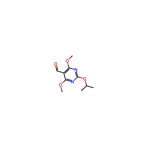 COc1nc(OC(C)C)nc(OC)c1C=O